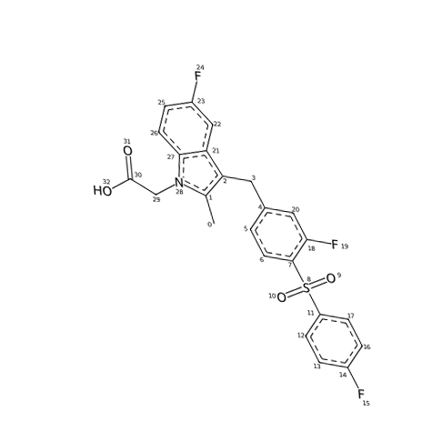 Cc1c(Cc2ccc(S(=O)(=O)c3ccc(F)cc3)c(F)c2)c2cc(F)ccc2n1CC(=O)O